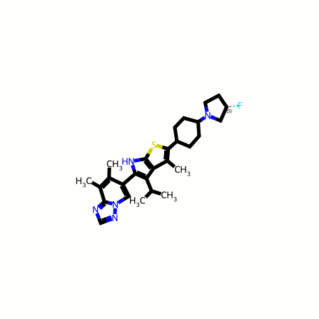 Cc1c(-c2[nH]c3sc(C4CCC(N5CC[C@H](F)C5)CC4)c(C)c3c2C(C)C)cn2ncnc2c1C